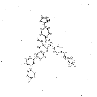 CN1CCN(c2cc(-c3cccc(C[C@H](NC(=O)C4CCC(CNC(=O)OC(C)(C)C)CC4)C(=O)Nc4ccc(-c5nnn[nH]5)cc4)c3)ccn2)CC1